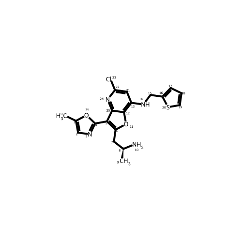 Cc1cnc(-c2c(C[C@H](C)N)oc3c(NCc4cccs4)cc(Cl)nc23)o1